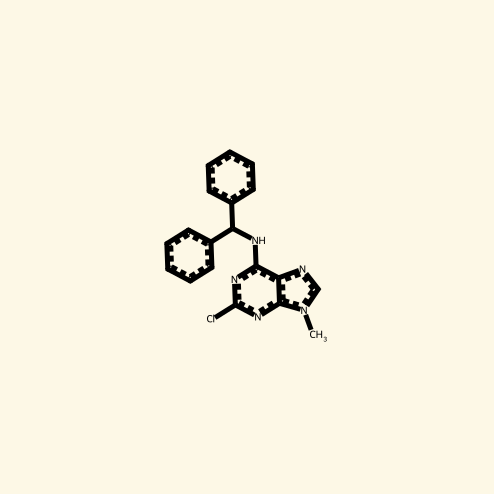 Cn1cnc2c(NC(c3ccccc3)c3ccccc3)nc(Cl)nc21